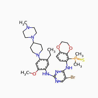 CCc1cc(Nc2ncc(Br)c(Nc3ccc4c(c3P(C)(C)=S)OCCO4)n2)c(OC)cc1N1CCC(N2CCN(C)CC2)CC1